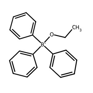 CCO[B-](c1ccccc1)(c1ccccc1)c1ccccc1